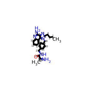 CCCCc1nc2c(N)nc3ccccc3c2n1Cc1ccc(CNC(=O)[C@H](C)N)cc1